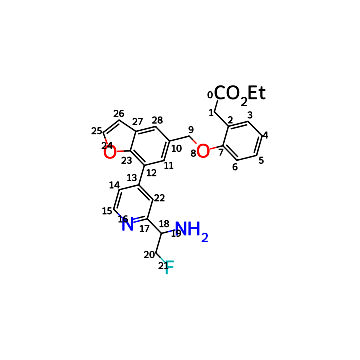 CCOC(=O)Cc1ccccc1OCc1cc(-c2ccnc(C(N)CF)c2)c2occc2c1